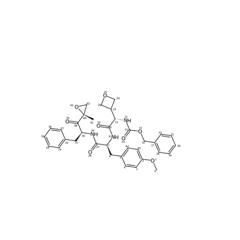 COc1ccc(C[C@H](NC(=O)[C@@H](NC(=O)OCc2ccccc2)C2COC2)C(=O)N[C@@H](Cc2ccccc2)C(=O)[C@@]2(C)CO2)cc1